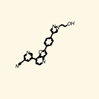 N#Cc1cncc(-c2ccnc3cc(-c4ccc(-c5cnn(CCO)c5)cc4)oc23)c1